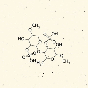 COC1COC(OC2C(C)OC(OC)C(O)C2OS(=O)(=O)O)C(OS(=O)(=O)O)C1O